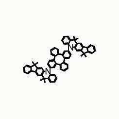 CC1(C)c2ccccc2-c2cc3c(cc21)N(c1ccc2c(c1)-c1ccccc1-c1ccc(N4c5ccccc5C(C)(C)c5cc6c(cc54)C(C)(C)c4ccccc4-6)cc1-c1ccccc1-2)c1ccccc1C3(C)C